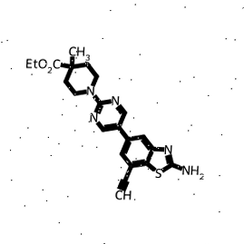 C#Cc1cc(-c2cnc(N3CCC(C)(C(=O)OCC)CC3)nc2)cc2nc(N)sc12